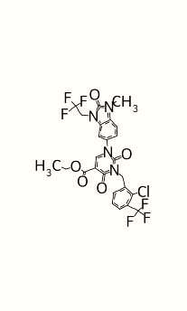 CCOC(=O)c1cn(-c2ccc3c(c2)n(CC(F)(F)F)c(=O)n3C)c(=O)n(Cc2cccc(C(F)(F)F)c2Cl)c1=O